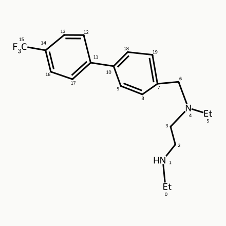 CCNCCN(CC)Cc1ccc(-c2ccc(C(F)(F)F)cc2)cc1